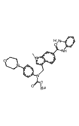 Cn1cc(CN(C(=O)OC(C)(C)C)c2ccc(N3CCOCC3)cc2)c2ccc(C(=O)Nc3ccccc3N)cc21